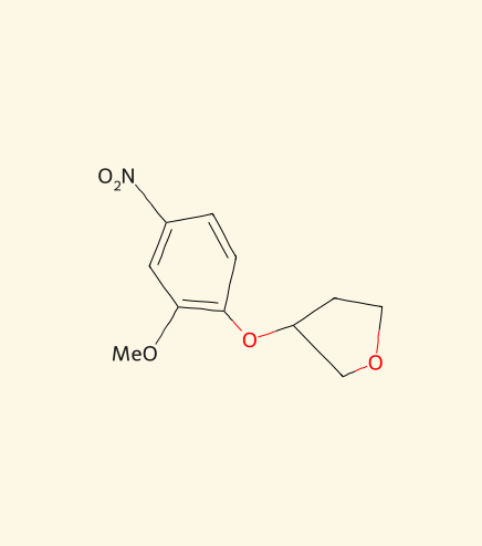 COc1cc([N+](=O)[O-])ccc1OC1CCOC1